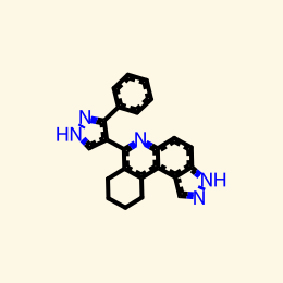 c1ccc(-c2n[nH]cc2-c2nc3ccc4[nH]ncc4c3c3c2CCCC3)cc1